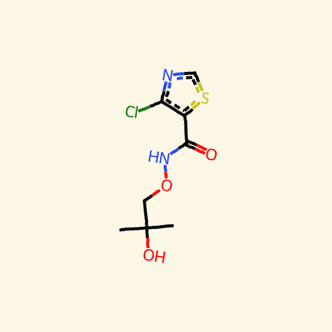 CC(C)(O)CONC(=O)c1scnc1Cl